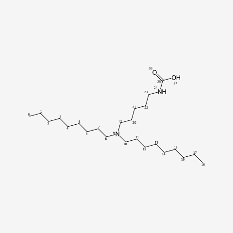 CCCCCCCCCN(CCCCCCCCC)CCCCCNC(=O)O